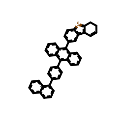 C1=Cc2c(sc3ccc(-c4c5ccccc5c(-c5ccc(-c6cccc7ccccc67)cc5)c5ccccc45)cc23)CC1